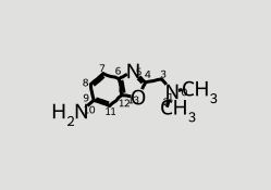 CN(C)Cc1nc2ccc(N)cc2o1